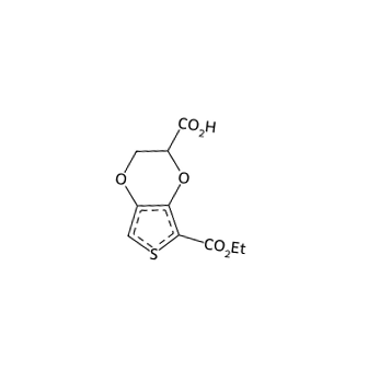 CCOC(=O)c1scc2c1OC(C(=O)O)CO2